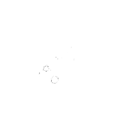 CC(C)(C)OC(=O)NCCn1cc(C(=O)O)c(Cc2ccccc2)n1